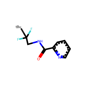 CC(C)(C)C(F)(F)CNC(=O)c1ccccn1